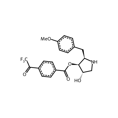 COc1ccc(C[C@H]2NC[C@H](O)[C@H]2OC(=O)c2ccc(C(=O)C(F)(F)F)cc2)cc1